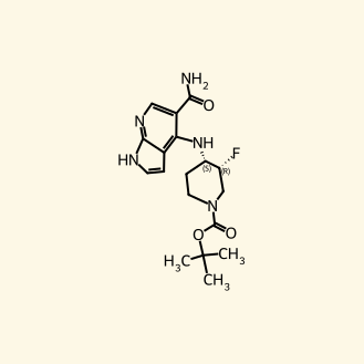 CC(C)(C)OC(=O)N1CC[C@H](Nc2c(C(N)=O)cnc3[nH]ccc23)[C@H](F)C1